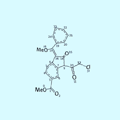 COC(=O)c1ccc2c(c1)C(C(=O)CCl)C(=O)/C2=C(/OC)c1ccccc1